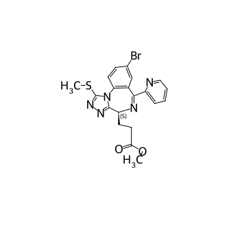 COC(=O)CC[C@@H]1N=C(c2ccccn2)c2cc(Br)ccc2-n2c(SC)nnc21